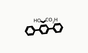 O=C(O)CO.c1ccc(-c2ccc(-c3ccccc3)cc2)cc1